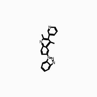 Cc1nc2ccc(-n3nnc4ccccc43)cc2c(C)c1-c1cccnc1